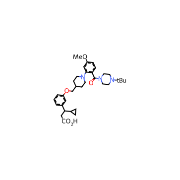 COc1ccc(C(=O)N2CCN(C(C)(C)C)CC2)c(N2CCC(COc3cccc(C(CC(=O)O)C4CC4)c3)CC2)c1